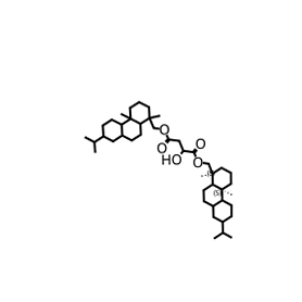 CC(C)C1CCC2C(CCC3C(C)(COC(=O)CC(O)C(=O)OC[C@@]4(C)CCC[C@@]5(C)C6CCC(C(C)C)CC6CCC45)CCCC23C)C1